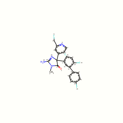 CN1C(=O)C(c2ccnc(CF)c2)(c2cc(-c3ccc(F)cc3)c(F)cc2F)N=C1N